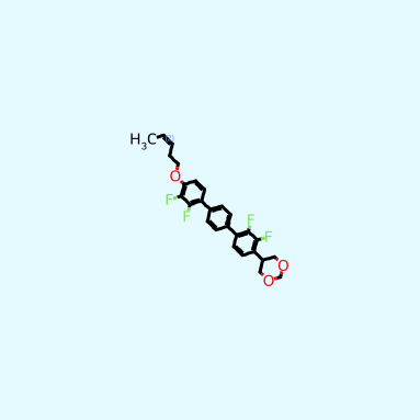 C/C=C\CCOc1ccc(-c2ccc(-c3ccc(C4COCOC4)c(F)c3F)cc2)c(F)c1F